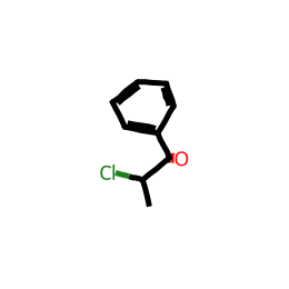 CC(Cl)C(=O)c1ccccc1